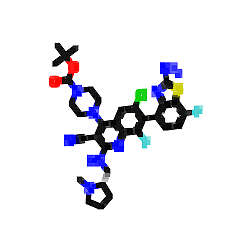 CN1CCC[C@H]1CNc1nc2c(F)c(-c3ccc(F)c4sc(N)nc34)c(Cl)cc2c(N2CCN(C(=O)OC(C)(C)C)CC2)c1C#N